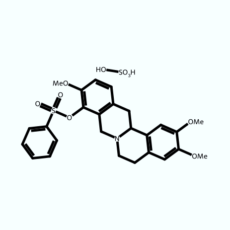 COc1cc2c(cc1OC)C1Cc3ccc(OC)c(OS(=O)(=O)c4ccccc4)c3CN1CC2.O=S(=O)(O)O